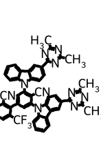 Cc1nc(C)nc(-c2ccc3c(c2)c2ccccc2n3-c2cc(-c3c(C#N)cccc3C(F)(F)F)cc(-n3c4ccccc4c4cc(-c5nc(C)nc(C)n5)ccc43)c2C#N)n1